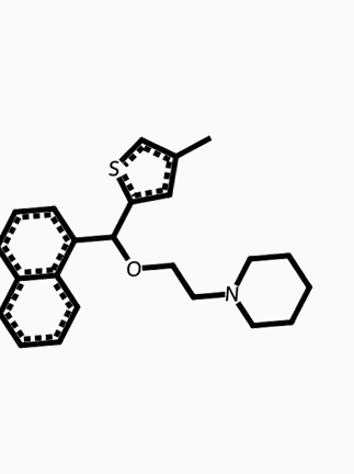 Cc1csc(C(OCCN2CCCCC2)c2cccc3ccccc23)c1